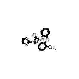 Cc1ccccc1Oc1ccccc1NC(=O)Nc1nccs1